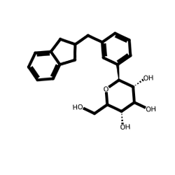 OCC1O[C@@H](c2cccc(CC3Cc4ccccc4C3)c2)[C@H](O)C(O)[C@@H]1O